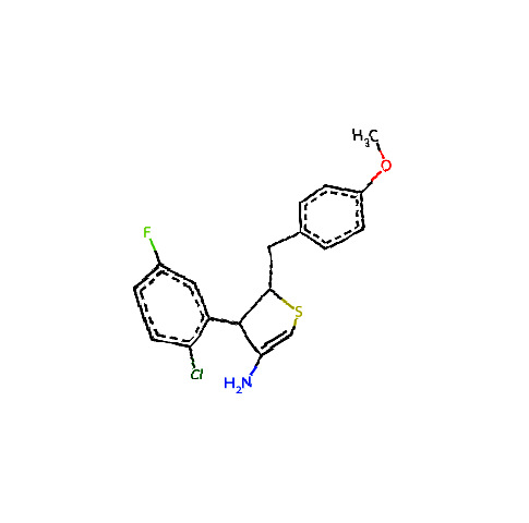 COc1ccc(CC2SC=C(N)C2c2cc(F)ccc2Cl)cc1